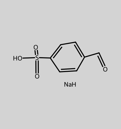 O=Cc1ccc(S(=O)(=O)O)cc1.[NaH]